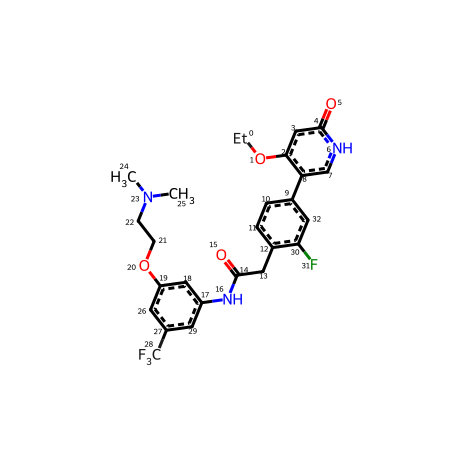 CCOc1cc(=O)[nH]cc1-c1ccc(CC(=O)Nc2cc(OCCN(C)C)cc(C(F)(F)F)c2)c(F)c1